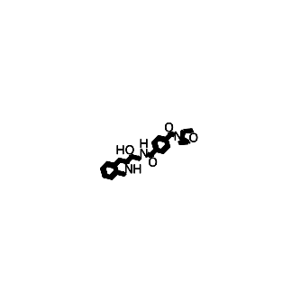 O=C(NCC(O)C1Cc2ccccc2CN1)c1ccc(C(=O)N2CC3CC2CO3)cc1